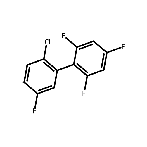 Fc1[c]cc(Cl)c(-c2c(F)cc(F)cc2F)c1